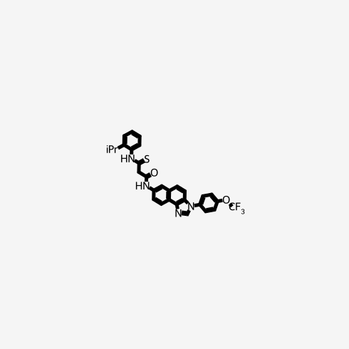 CC(C)c1ccccc1NC(=S)CC(=O)Nc1ccc2c(ccc3c2ncn3-c2ccc(OC(F)(F)F)cc2)c1